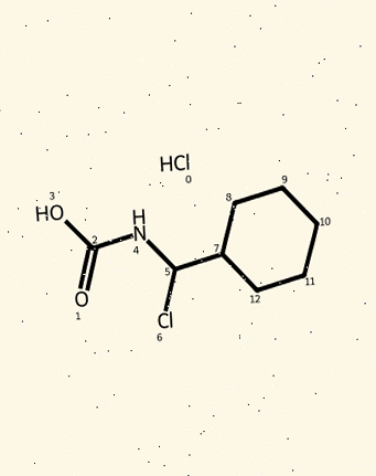 Cl.O=C(O)NC(Cl)C1CCCCC1